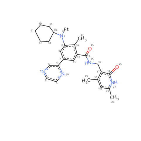 CCN(c1cc(-c2cnccn2)cc(C(=O)NCc2c(C)cc(C)[nH]c2=O)c1C)C1CCCCC1